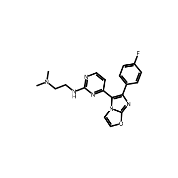 CN(C)CCNc1nccc(-c2c(-c3ccc(F)cc3)nc3occn23)n1